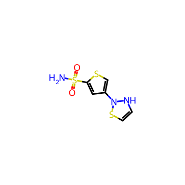 NS(=O)(=O)c1cc(N2NC=CS2)cs1